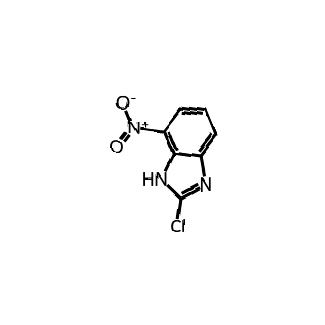 O=[N+]([O-])c1cccc2nc(Cl)[nH]c12